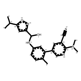 Cc1ccc(NC(O)c2cc(C(C)C)on2)cc1-c1cnc(N(C)C)c(C#N)c1